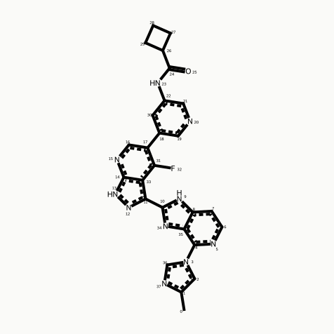 Cc1cn(-c2nccc3[nH]c(-c4n[nH]c5ncc(-c6cncc(NC(=O)C7CCC7)c6)c(F)c45)nc23)cn1